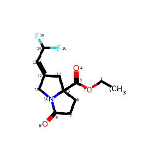 CCOC(=O)C12CCC(=O)N1CC(=CC(F)F)C2